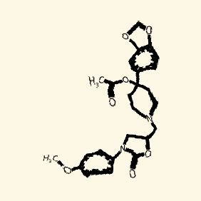 COc1ccc(N2CC(CN3CCC(OC(C)=O)(c4ccc5c(c4)OCO5)CC3)OC2=O)cc1